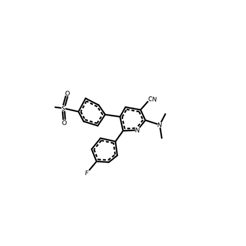 CN(C)c1nc(-c2ccc(F)cc2)c(-c2ccc(S(C)(=O)=O)cc2)cc1C#N